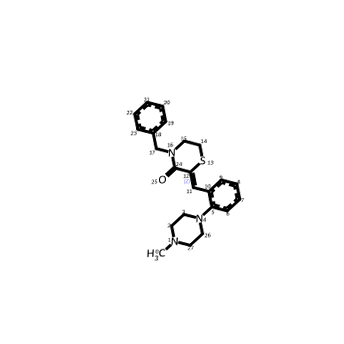 CN1CCN(c2ccccc2/C=C2\SCCN(Cc3ccccc3)C2=O)CC1